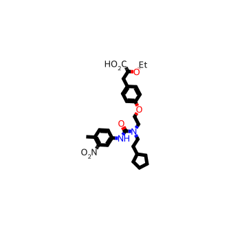 CCOC(Cc1ccc(OCCN(CCC2CCCC2)C(=O)Nc2ccc(C)c([N+](=O)[O-])c2)cc1)C(=O)O